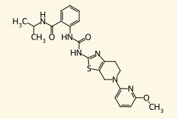 COc1cccc(N2CCc3nc(NC(=O)Nc4ccccc4C(=O)NC(C)C)sc3C2)n1